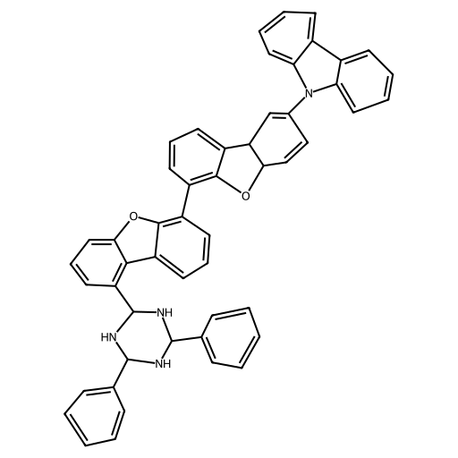 C1=CC2Oc3c(-c4cccc5c4oc4cccc(C6NC(c7ccccc7)NC(c7ccccc7)N6)c45)cccc3C2C=C1n1c2ccccc2c2ccccc21